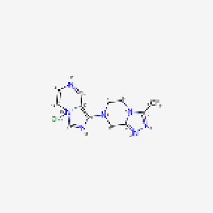 FC(F)(F)c1nnc2n1CCN(C1=C3C=NC=C[N+]3(Cl)C=N1)C2